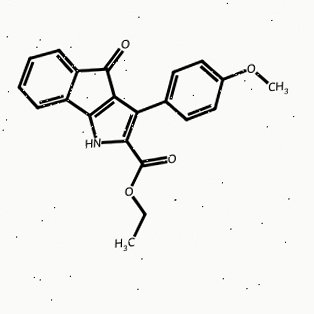 CCOC(=O)c1[nH]c2c(c1-c1ccc(OC)cc1)C(=O)c1ccccc1-2